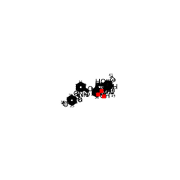 CC[C@@H]1[C@@H](C)[C@]2(OC(=O)c3ccccc3NS(=O)(=O)c3ccc(OC)cc3)CC[C@H](O)C34C2CC(N13)[C@@]1(O)C[C@H](OC)[C@H]2CC4[C@]1(O)[C@H]2OC